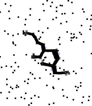 C\C=C(Cl)/C=C\C(=C\CCC)CO